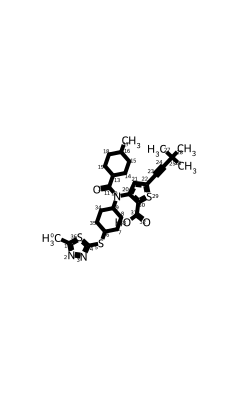 Cc1nnc(SC2CCC(N(C(=O)C3CCC(C)CC3)c3cc(C#CC(C)(C)C)sc3C(=O)O)CC2)s1